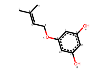 CC(C)=CCOc1cc(O)cc(O)c1